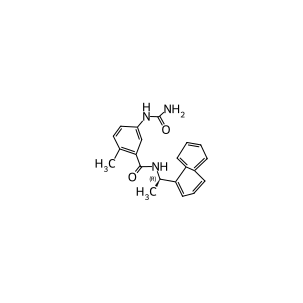 Cc1ccc(NC(N)=O)cc1C(=O)N[C@H](C)c1cccc2ccccc12